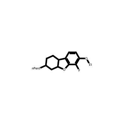 CCCCCC1CCC2c3ccc(OCC)c(F)c3OC2C1